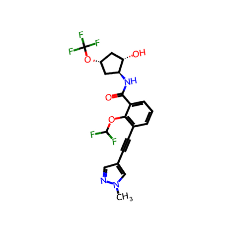 Cn1cc(C#Cc2cccc(C(=O)N[C@H]3C[C@H](OC(F)(F)F)C[C@@H]3O)c2OC(F)F)cn1